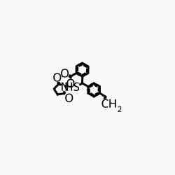 C=Cc1ccc(C(S)c2ccccc2C(=O)ON2C(=O)CCC2=O)cc1